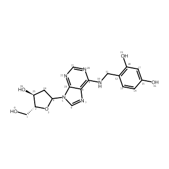 OC[C@H]1OC(n2cnc3c(NCc4ccc(O)cc4O)ncnc32)C[C@@H]1O